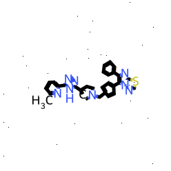 Cc1cccc(-c2nnc(C3CCN(Cc4ccc(-c5c(-c6ccccc6)nc6scnn56)cc4)CC3)[nH]2)n1